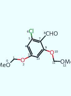 COCOc1cc(Cl)c(C=O)c(OCOC)c1